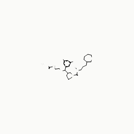 COC(=O)NCCOC(c1cc(F)cc(F)c1)C1CCCN(C(=O)N(N)CCCC2CCCCOC2)C1